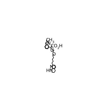 Cn1cc2cccc(C(C(=O)O)N3CC(OCCCCCc4ccc5c(n4)NCCC5)C3)c2n1